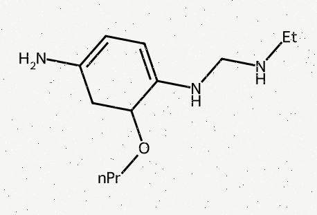 CCCOC1CC(N)=CC=C1NCNCC